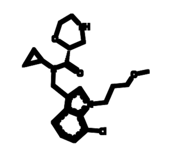 COCCCn1cc(CN(C(=O)[C@H]2CNCCO2)C2CC2)c2cccc(Cl)c21